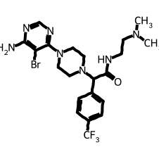 CN(C)CCNC(=O)C(c1ccc(C(F)(F)F)cc1)N1CCN(c2ncnc(N)c2Br)CC1